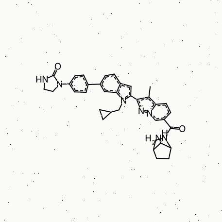 Cc1c(-c2cc3ccc(-c4ccc(N5CCNC5=O)cc4)cc3n2CC2CC2)nn2cc(C(=O)N3CC4CCC3[C@@H]4N)ccc12